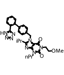 CCCn1c(=O)n(CCOC)c(=O)c2c1nc(C(C)C)n2Cc1ccc(-c2ccccc2-c2nnn[nH]2)cc1